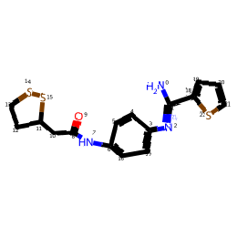 N/C(=N\c1ccc(NC(=O)CC2CCSS2)cc1)c1cccs1